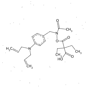 C=CCN(CC=C)c1ccc(CN(OC(=O)C(CC)(CC)C(=O)O)C(C)=O)cc1